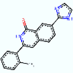 O=c1[nH]c(-c2ccccc2C(F)(F)F)cc2ccc(-c3ncc[nH]3)cc12